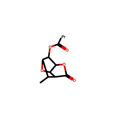 CC(C)C(=O)OC1C2OC3C1OC(=O)C3C2C